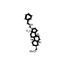 COC[C@H]1CC[C@@H]2C3CC[C@@]4(C)C(CC[C@@H]4CNCc4ccccc4)[C@@H]3CC[C@@H]2C1